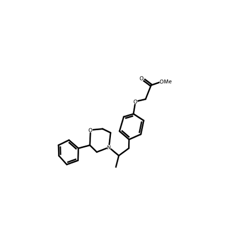 COC(=O)COc1ccc(CC(C)N2CCOC(c3ccccc3)C2)cc1